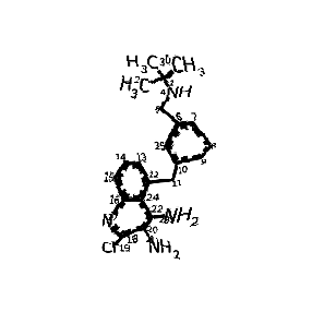 CC(C)(C)NCc1cccc(Cc2cccc3nc(Cl)c(N)c(N)c23)c1